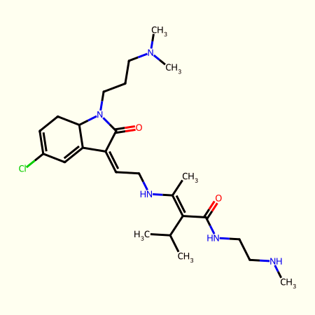 CNCCNC(=O)/C(=C(\C)NC/C=C1\C(=O)N(CCCN(C)C)C2CC=C(Cl)C=C12)C(C)C